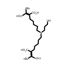 CCCCCCCC/C(CCCC)=C(\CCCCCN(CCCO)CCCCC/C(C(=O)O)=C(/CCCC)CCCCCCCC)C(=O)O